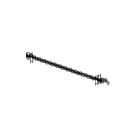 C=C1C=CC(=O)N1CCC(=O)NCCOCCOCCOCCOCCOCCOCCOCCOCCOCCOCCOCCOCCOCCOCCOCCOCCOCCOCCOCCOCCOCCOCCOCCOCCC(=O)NCCNC(=O)C(C)(C)C